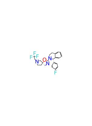 Fc1ccc([C@H]2c3ccccc3CCN2C2=NC[C@@]3(CCN(CC(F)(F)F)C3)O2)cc1